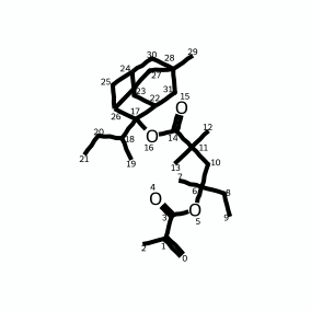 C=C(C)C(=O)OC(C)(CC)CC(C)(C)C(=O)OC1(C(C)CC)C2CC3CC1CC(C)(C3)C2